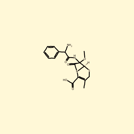 COC1(NC(=O)C(N)c2ccccc2)C(=O)N2C(C(=O)O)=C(C)CS[C@@H]21